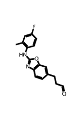 Cc1cc(F)ccc1Nc1nc2ccc(CCC=O)cc2o1